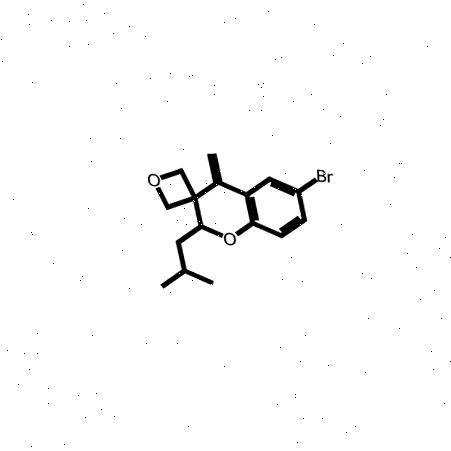 C=C1c2cc(Br)ccc2OC(CC(C)C)C12COC2